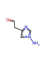 Nn1cnc(CC=O)c1